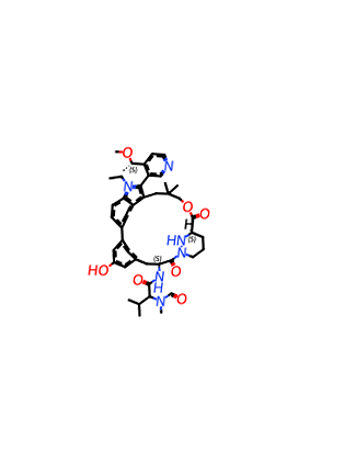 CCn1c(-c2cnccc2[C@H](C)OC)c2c3cc(ccc31)-c1cc(O)cc(c1)C[C@H](NC(=O)C(C(C)C)N(C)C=O)C(=O)N1CCC[C@H](N1)C(=O)OCC(C)(C)C2